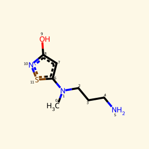 CN(CCCN)c1cc(O)ns1